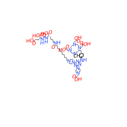 CN1CCN(CC(=O)O)CCN(CC(=O)O)CCN(CC(=O)O)C(Cc2ccc(Nc3nc(N4CCN(CCCCCCCCCCC(=O)NCCCC[C@H](NC(=O)N[C@@H](CCC(=O)O)C(=O)O)C(=O)O)CC4)nc(N4CCN(CC(=O)O)CC4)n3)cc2)C1